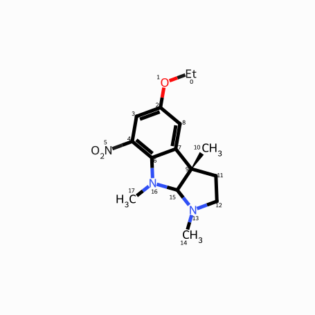 CCOc1cc([N+](=O)[O-])c2c(c1)[C@]1(C)CCN(C)C1N2C